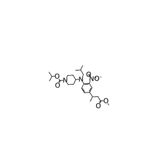 COC(=O)CC(C)c1ccc(N(CC(C)C)C2CCN(C(=O)OC(C)C)CC2)c([N+](=O)[O-])c1